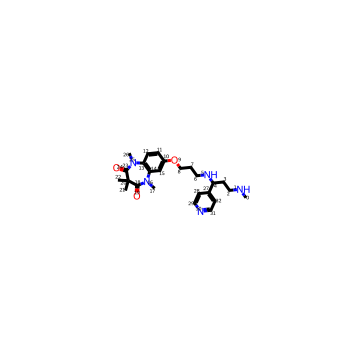 CNCCC(NCCCOc1ccc2c(c1)N(C)C(=O)C(C)(C)C(=O)N2C)c1ccncc1